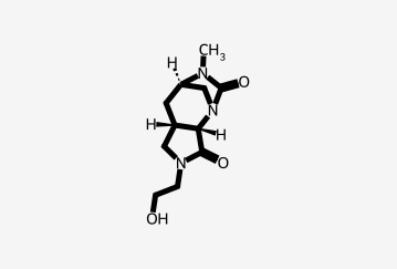 CN1C(=O)N2C[C@H]1C[C@H]1CN(CCO)C(=O)[C@H]12